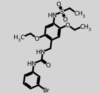 CCOc1cc(NS(=O)(=O)CC)c(OCC)cc1CNC(=O)Nc1cccc(Br)c1